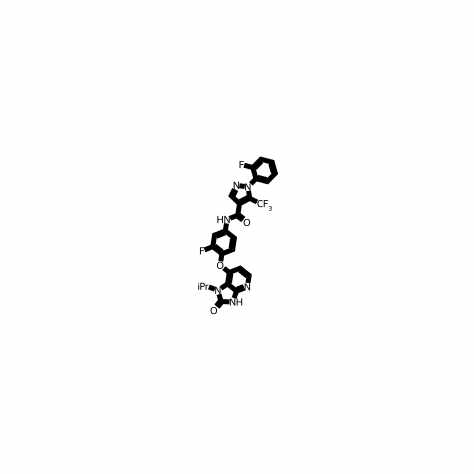 CC(C)n1c(=O)[nH]c2nccc(Oc3ccc(NC(=O)c4cnn(-c5ccccc5F)c4C(F)(F)F)cc3F)c21